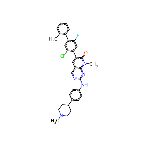 Cc1ccccc1-c1cc(Cl)c(-c2cc3cnc(Nc4ccc(C5CCN(C)CC5)cc4)nc3n(C)c2=O)cc1F